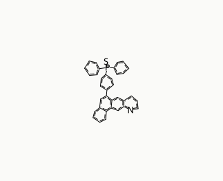 S=P(c1ccccc1)(c1ccccc1)c1ccc(-c2cc3ccccc3c3cc4ncccc4cc23)cc1